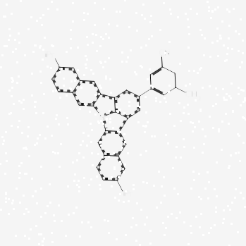 CC1C=C(c2cc3c4cc5cc(C(C)C)ccc5cc4n4c5cc6ccc(C(C)C)cc6cc5c(c2)c34)C=C(C#N)C1